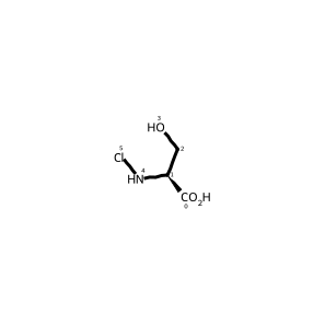 O=C(O)[C@H](CO)NCl